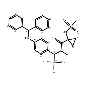 CN(C(=O)C1(NS(C)(=O)=O)CC1)C(c1ccc(NC(c2ccccc2)c2ccccc2)cn1)C(F)(F)F